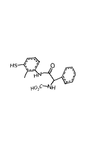 Cc1c(S)cccc1NC(=O)C(NC(=O)O)c1ccccc1